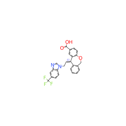 O=C(O)c1ccc2c(c1)/C(=C/Cn1cnc3cc(C(F)(F)F)ccc31)c1ccccc1CO2